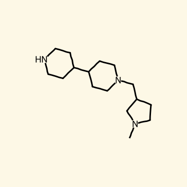 CN1CCC(CN2CCC(C3CCNCC3)CC2)C1